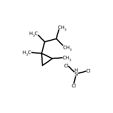 CC(C)C(C)C1(C)CC1C.Cl[SiH](Cl)Cl